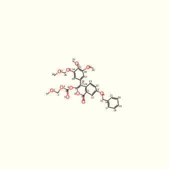 COCOC(=O)Oc1oc(=O)c2cc(OCc3ccccc3)ccc2c1-c1cc(OC)c(OC)c(OCOC)c1